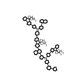 CC1(C)c2ccccc2-c2ccc(-c3ccc(N(c4ccc(-c5ccc6c(c5)C(C)(C)c5cc(-c7ccc(-c8cccc(N(c9ccc(-c%10cccc(-c%11ccccc%11)c%10)cc9)c9ccc(-c%10ccc%11c(c%10)C(C)(C)c%10ccccc%10-%11)cc9)c8)c8ccccc78)ccc5-6)cc4)c4cccc(-c5cccc6ccccc56)c4)cc3)cc21